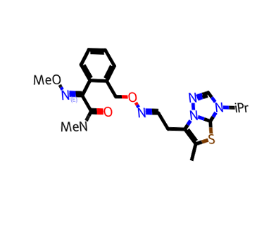 CNC(=O)/C(=N/OC)c1ccccc1CON=CCC1=C(C)SC2N1N=CN2C(C)C